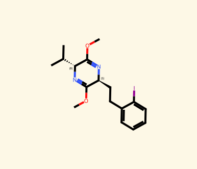 COC1=N[C@H](C(C)C)C(OC)=N[C@H]1CCc1ccccc1I